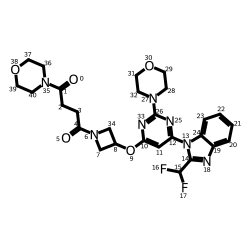 O=C(CCC(=O)N1CC(Oc2cc(-n3c(C(F)F)nc4ccccc43)nc(N3CCOCC3)n2)C1)N1CCOCC1